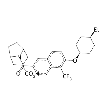 CC[C@H]1CC[C@@H](Oc2ccc3cc(C(=O)N4C5CCC4CC(C(=O)O)C5)ccc3c2C(F)(F)F)CC1